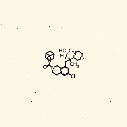 CC(C)(Cc1cc(Cl)cc2c1CN(C(=O)N1CC3CC(C1)C3=O)CC2)[C@@H]1COCCN1C(=O)O